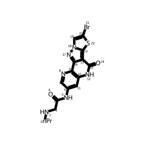 CCCNCC(=O)Nc1cnc2c(c1)[nH]c(=O)c1c2nn2cc(Br)sc12